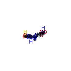 CC(C)n1nc(N2CCN(Cc3cc(F)c4c(c3)CN(C3CCC(=O)NC3=O)C4=O)CC2)c2cnc(Nc3ccnc(-c4cnn([SH](=O)=O)c4)n3)cc21